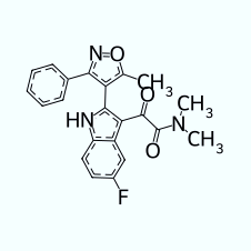 Cc1onc(-c2ccccc2)c1-c1[nH]c2ccc(F)cc2c1C(=O)C(=O)N(C)C